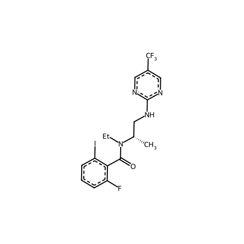 CCN(C(=O)c1c(F)cccc1I)[C@@H](C)CNc1ncc(C(F)(F)F)cn1